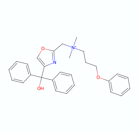 C[N+](C)(CCCOc1ccccc1)Cc1nc(C(O)(c2ccccc2)c2ccccc2)co1